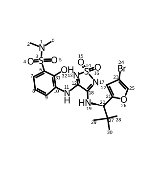 CN(C)S(=O)(=O)c1cccc(NC2=NS(=O)(=O)N=C2N[C@@H](c2cc(Br)co2)C(C)(C)C)c1O